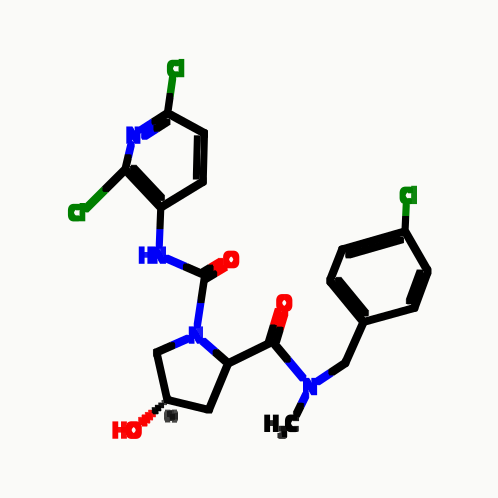 CN(Cc1ccc(Cl)cc1)C(=O)C1C[C@H](O)CN1C(=O)Nc1ccc(Cl)nc1Cl